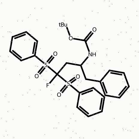 CC(C)(C)OC(=O)NC(Cc1ccccc1)CC(F)(S(=O)(=O)c1ccccc1)S(=O)(=O)c1ccccc1